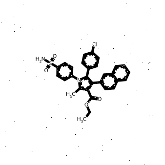 CCOC(=O)c1c(-c2ccc3ccccc3c2)c(-c2ccc(Cl)cc2)n(-c2ccc(S(N)(=O)=O)cc2)c1C